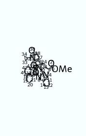 COC(=O)c1cnc(N(Cc2ccccc2)Cc2ccccc2)c2c1cc(-c1ccc(=O)n(C3CC3)c1)n2S(=O)(=O)c1ccccc1